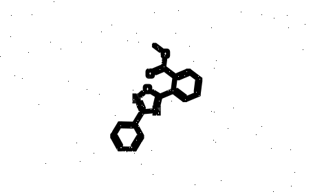 COC(=O)c1ccccc1-c1nc(-c2ccccc2)no1